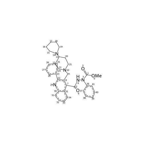 COC(=O)N(NC(=O)c1c(CN2CCC(N3CCCCC3)CC2)c(-c2ccccc2)nc2ccccc12)c1ccccc1